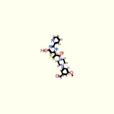 COc1cc(C=O)cc(N2CCN(C(=O)c3csc4c(O)nc(-c5ccccn5)nc34)CC2)c1